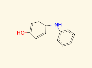 OC1=CCC(Nc2ccccc2)C=C1